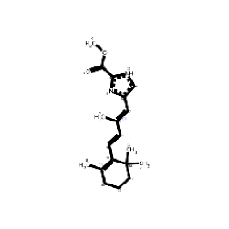 COC(=O)c1nc(/C=C(\C)C=CC2=C(C)CCCC2(C)C)c[nH]1